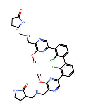 COc1nc(-c2cccc(-c3cccc(-c4cnc(CNC[C@@H]5CCC(=O)N5)c(OC)n4)c3Cl)c2Cl)cnc1CNCC1CCNC1=O